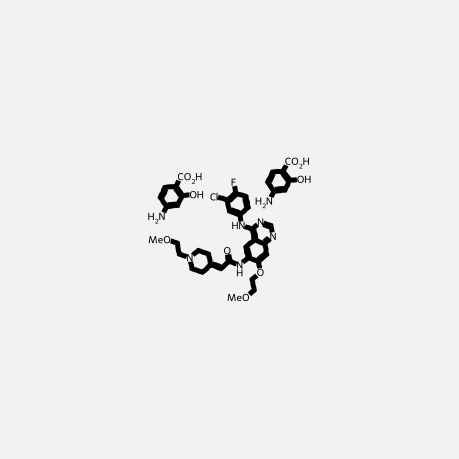 COCCOc1cc2ncnc(Nc3ccc(F)c(Cl)c3)c2cc1NC(=O)C=C1CCN(CCOC)CC1.Nc1ccc(C(=O)O)c(O)c1.Nc1ccc(C(=O)O)c(O)c1